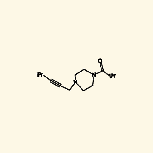 CC(C)C#CCN1CCN(C(=O)C(C)C)CC1